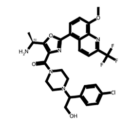 COc1ccc(-c2nc(C(=O)N3CCN(C(CO)c4ccc(Cl)cc4)CC3)c([C@H](C)N)o2)c2ccc(C(F)(F)F)nc12